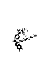 CC(C)(C)OC(=O)N1CCN(C(=O)c2cc3cc(F)c(F)cc3n2CCOCCOCCO)CC1